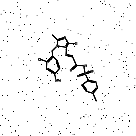 CSc1ccc(Cn2c(C)nc(Cl)c2/C=C/C(=O)NS(=O)(=O)c2ccc(C)cc2)c(Cl)c1